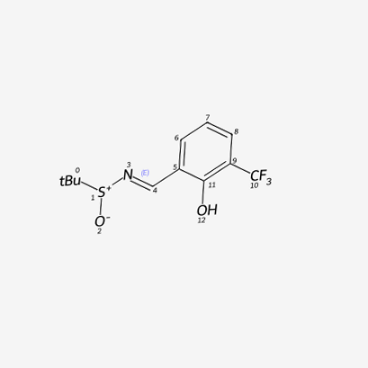 CC(C)(C)[S+]([O-])/N=C/c1cccc(C(F)(F)F)c1O